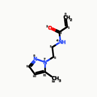 C=CC(=O)NCCn1n[c]cc1C